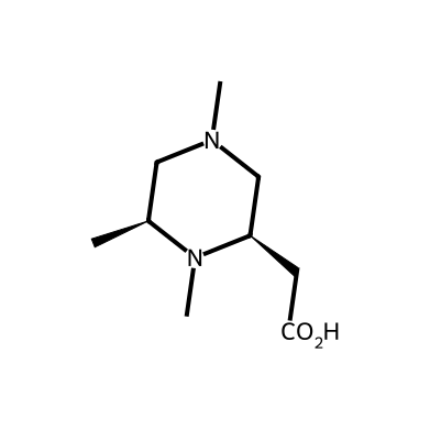 C[C@H]1CN(C)C[C@@H](CC(=O)O)N1C